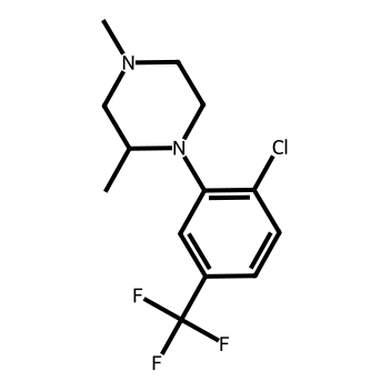 CC1CN(C)CCN1c1cc(C(F)(F)F)ccc1Cl